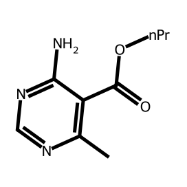 CCCOC(=O)c1c(C)ncnc1N